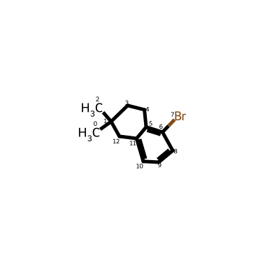 CC1(C)CCc2c(Br)cccc2C1